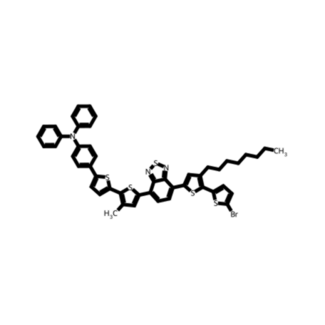 CCCCCCCCc1cc(-c2ccc(-c3cc(C)c(-c4ccc(-c5ccc(N(c6ccccc6)c6ccccc6)cc5)s4)s3)c3nsnc23)sc1-c1ccc(Br)s1